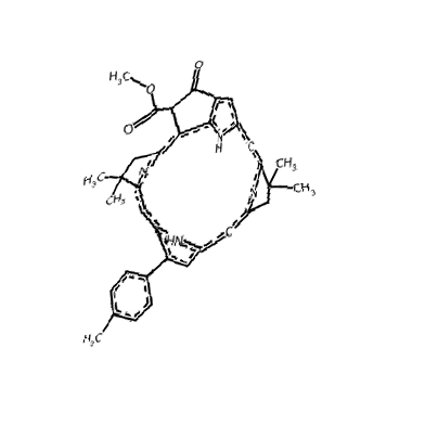 COC(=O)C1C(=O)c2cc3cc4nc(cc5cc(-c6ccc(C)cc6)c(cc6nc(c1c2[nH]3)CC6(C)C)[nH]5)CC4(C)C